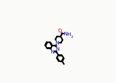 Cc1ccc(-c2nc(N3CCC(C(N)=O)CC3)c3ccccc3n2)cc1